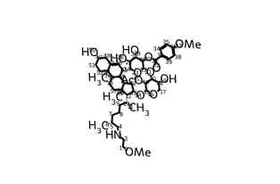 COCCNC[C@H](C)CCC[C@@H](C)[C@H]1[C@@H](O[C@@H]2OC[C@H](O)[C@H](O[C@@H]3OC[C@@H](O)[C@H](O)[C@H]3OC(=O)c3ccc(OC)cc3)[C@H]2OC(C)=O)CC2C3CC=C4C[C@@H](O)CC[C@]4(C)C3CC[C@@]21C